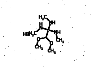 Br.CNC(NC)(NC)C(OC)OC